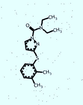 CCN(CC)C(=O)n1ccc(Sc2cccc(C)c2C)n1